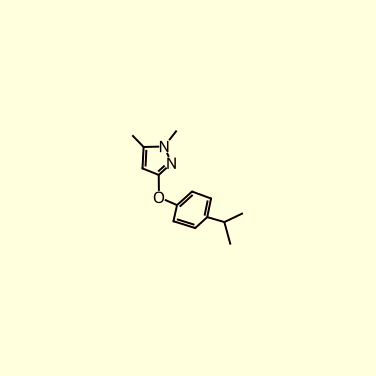 Cc1cc(Oc2ccc(C(C)C)cc2)nn1C